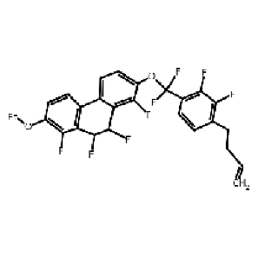 C=CCCc1ccc(C(F)(F)Oc2ccc3c(c2F)C(F)C(F)c2c-3ccc(OCC)c2F)c(F)c1F